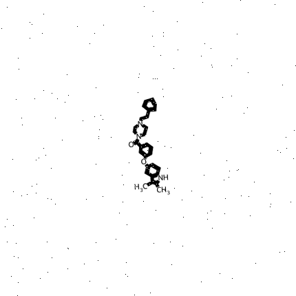 Cc1[nH]c2ccc(Oc3cccc(C(=O)N4CCN(CCc5ccccc5)CC4)c3)cc2c1C